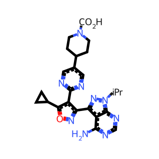 CC(C)n1nc(-c2noc(C3CC3)c2-c2ncc(C3CCN(C(=O)O)CC3)cn2)c2c(N)ncnc21